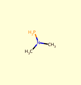 CN(C)P